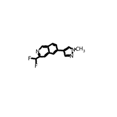 Cn1cc(-c2ccc3cnc(C(F)F)cc3c2)cn1